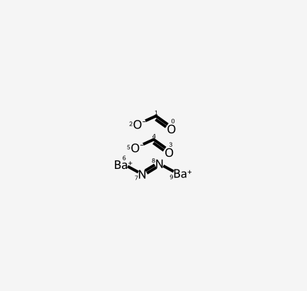 O=C[O-].O=C[O-].[Ba+][N]=[N][Ba+]